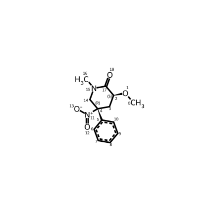 CO[C@H]1C[C@](c2ccccc2)([N+](=O)[O-])CN(C)C1=O